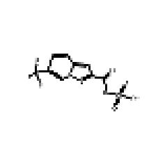 O=C(NS(=O)(=O)O)c1cc2ccc(C(F)(F)F)cn2n1